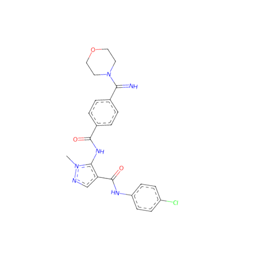 Cn1ncc(C(=O)Nc2ccc(Cl)cc2)c1NC(=O)c1ccc(C(=N)N2CCOCC2)cc1